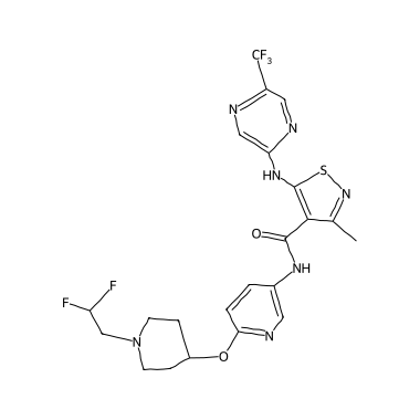 Cc1nsc(Nc2cnc(C(F)(F)F)cn2)c1C(=O)Nc1ccc(OC2CCN(CC(F)F)CC2)nc1